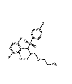 O=S(=O)(c1ccc(Cl)cc1)C1c2c(F)ccc(F)c2OCC1COCCO